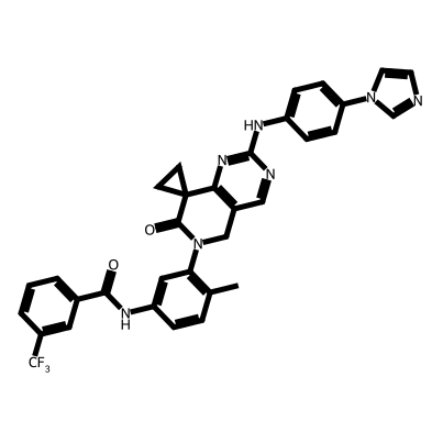 Cc1ccc(NC(=O)c2cccc(C(F)(F)F)c2)cc1N1Cc2cnc(Nc3ccc(-n4ccnc4)cc3)nc2C2(CC2)C1=O